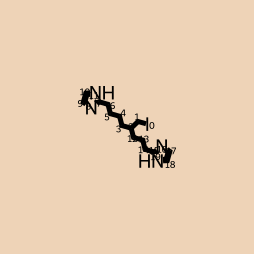 ICC(CCCCc1ncc[nH]1)CCCc1ncc[nH]1